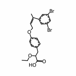 CCOC(Cc1ccc(OC/C=C(/C)c2cc(Br)cc(Br)c2)cc1)C(=O)O